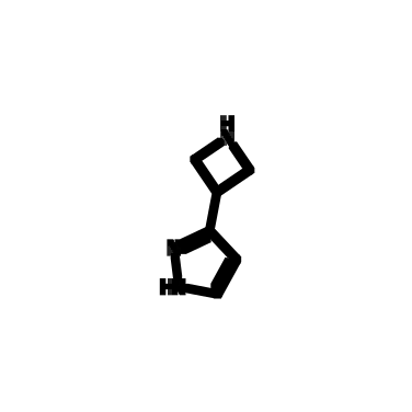 c1cc(C2CNC2)n[nH]1